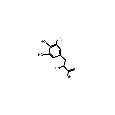 Cc1cc(CC(N)C(=O)O)cc(O)c1O